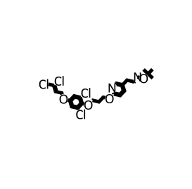 CC(C)(C)ON=CCc1ccc(OCCCOc2c(Cl)cc(OCC=C(Cl)Cl)cc2Cl)nc1